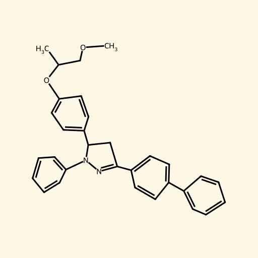 COCC(C)Oc1ccc(C2CC(c3ccc(-c4ccccc4)cc3)=NN2c2ccccc2)cc1